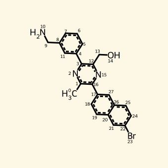 Cc1nc(-c2cccc(CN)c2)c(CO)nc1-c1ccc2cc(Br)ccc2c1